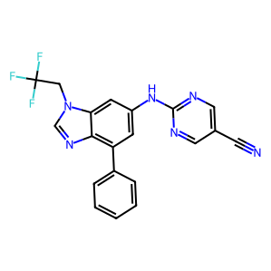 N#Cc1cnc(Nc2cc(-c3ccccc3)c3ncn(CC(F)(F)F)c3c2)nc1